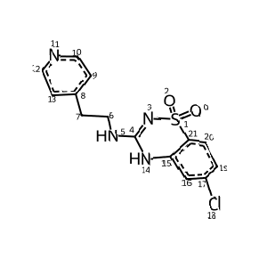 O=S1(=O)N=C(NCCc2ccncc2)Nc2cc(Cl)ccc21